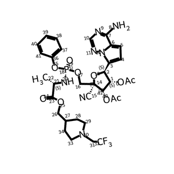 CC(=O)O[C@H]1[C@H](c2ccc3c(N)ncnn23)O[C@](C#N)(CO[P@@](=O)(N[C@@H](C)C(=O)OCC2CCN(CC(F)(F)F)CC2)Oc2ccccc2)[C@H]1OC(C)=O